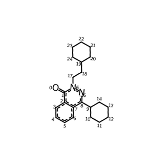 O=c1c2ccccc2c(C2CCCCC2)nn1CCC1CCCCC1